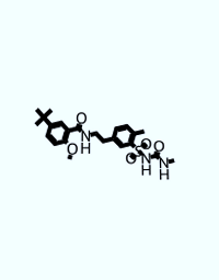 CNC(=O)NS(=O)(=O)c1cc(CCNC(=O)c2cc(C(C)(C)C)ccc2OC)ccc1C